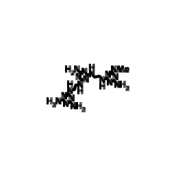 CNc1nc(N)nc(NCCNc2nc(N)nc(NCCNc3nc(N)nc(N)n3)n2)n1